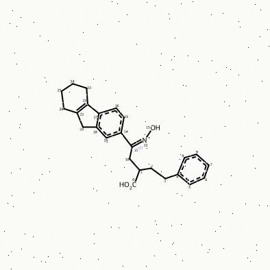 O=C(O)C(CCc1ccccc1)C/C(=N/O)c1ccc2c(c1)CC1=C2CCCC1